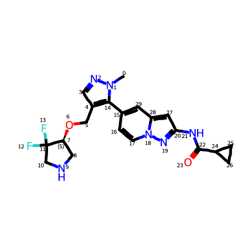 Cn1ncc(CO[C@H]2CNCC2(F)F)c1-c1ccn2nc(NC(=O)C3CC3)cc2c1